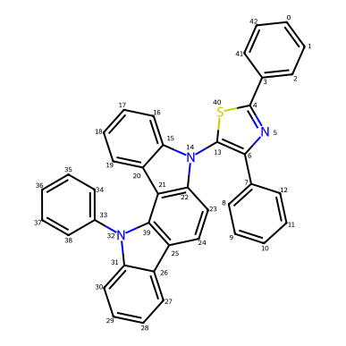 c1ccc(-c2nc(-c3ccccc3)c(-n3c4ccccc4c4c3ccc3c5ccccc5n(-c5ccccc5)c34)s2)cc1